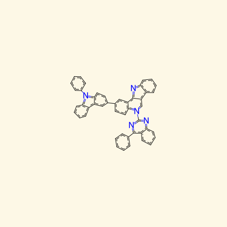 c1ccc(-c2nc(-n3cc4c5ccccc5nc-4c4cc(-c5ccc6c(c5)c5ccccc5n6-c5ccccc5)ccc43)nc3ccccc23)cc1